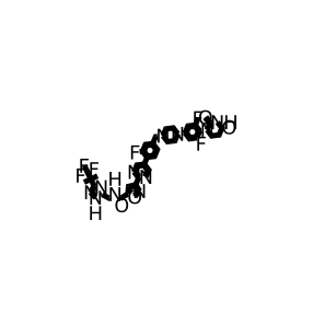 CC(C)(c1n[nH]c(CNC(=O)c2cc(-c3ncc(-c4ccc(CN5CCN(c6cc(F)c(N7CCC(=O)NC7=O)c(F)c6)CC5)cc4F)cn3)no2)n1)C(F)(F)F